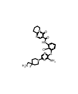 NCC1(F)CCN(c2cnc(Sc3cccc(NC(=O)c4cnc5n(c4=O)CCCC5)c3Cl)c(N)n2)CC1